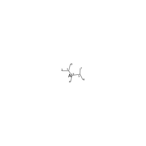 C[CH](C)[Al]([CH3])[CH](C)C